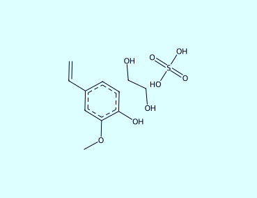 C=Cc1ccc(O)c(OC)c1.O=S(=O)(O)O.OCCO